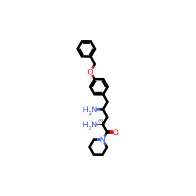 NC(Cc1ccc(OCc2ccccc2)cc1)C[C@H](N)C(=O)N1CCCCC1